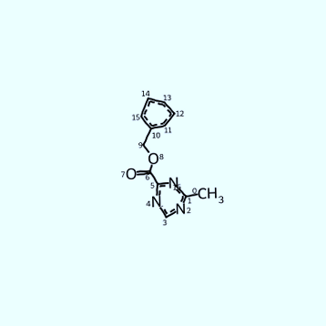 Cc1ncnc(C(=O)OCc2ccccc2)n1